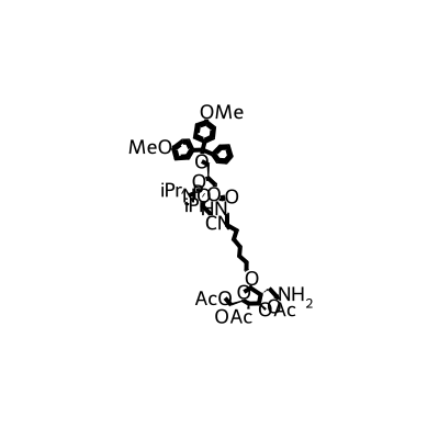 COc1ccc(C(OC[C@@H](COC(=O)NCCCCCCCCO[C@@H]2O[C@H](COC(C)=O)[C@H](OC(C)=O)[C@H](OC(C)=O)[C@H]2CC(N)=O)OP(OCCC#N)N(C(C)C)C(C)C)(c2ccccc2)c2ccc(OC)cc2)cc1